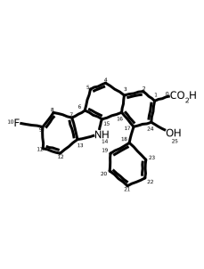 O=C(O)c1cc2ccc3c4cc(F)ccc4[nH]c3c2c(-c2ccccc2)c1O